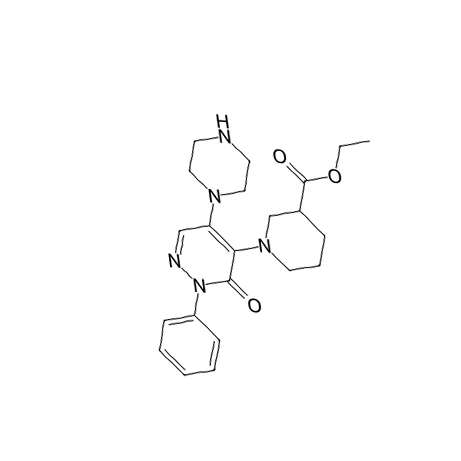 CCOC(=O)C1CCCN(c2c(N3CCNCC3)cnn(-c3ccccc3)c2=O)C1